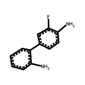 Nc1ccc(-c2ccccc2N)cc1F